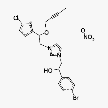 CC#CCOC(C[n+]1ccn(CC(O)c2ccc(Br)cc2)c1)c1ccc(Cl)s1.O=[N+]([O-])[O-]